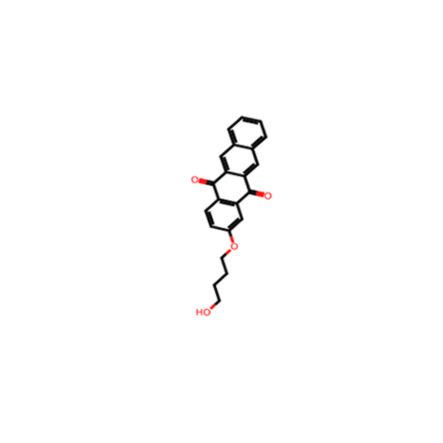 O=C1c2ccc(OCCCCO)cc2C(=O)c2cc3ccccc3cc21